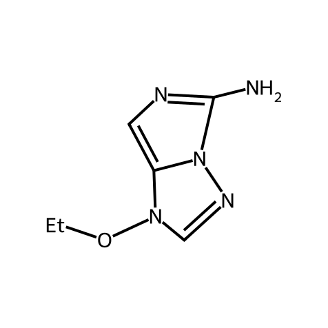 CCOn1cnn2c(N)ncc12